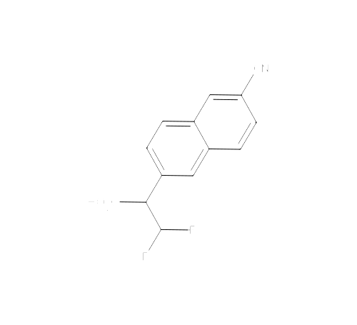 N#Cc1ccc2cc(C(C(=O)O)C(F)F)ccc2c1